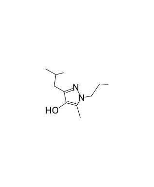 CCCn1nc(CC(C)C)c(O)c1C